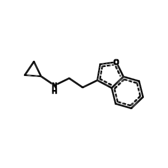 c1ccc2c(CCNC3CC3)coc2c1